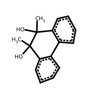 CC1(O)c2ccccc2-c2ccccc2C1(C)O